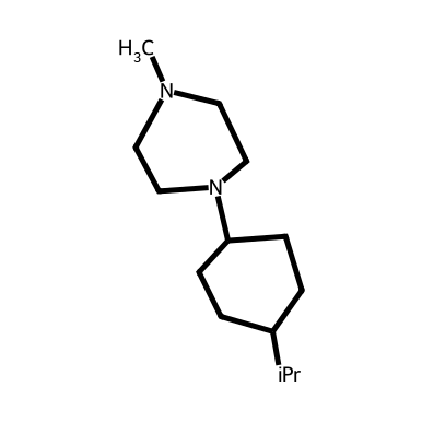 CC(C)C1CCC(N2CCN(C)CC2)CC1